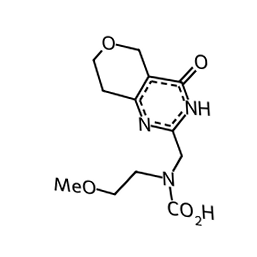 COCCN(Cc1nc2c(c(=O)[nH]1)COCC2)C(=O)O